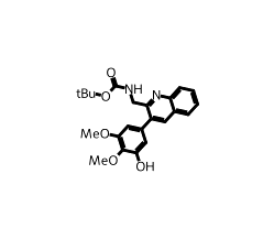 COc1cc(-c2cc3ccccc3nc2CNC(=O)OC(C)(C)C)cc(O)c1OC